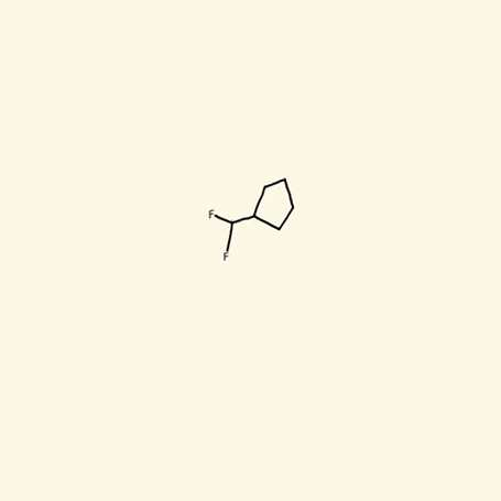 F[C](F)C1CCCC1